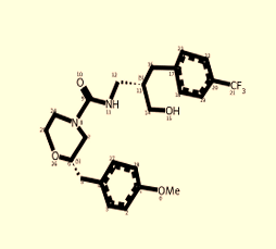 COc1ccc(C[C@H]2CN(C(=O)NC[C@@H](CO)Cc3ccc(C(F)(F)F)cc3)CCO2)cc1